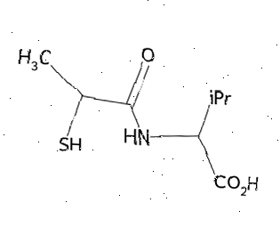 CC(S)C(=O)NC(C(=O)O)C(C)C